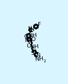 Nc1cc2sc(CNC(=O)Cn3cnc4c(c3=O)N[C@H](c3cnn(-c5ccc(F)cc5)c3)CO4)cc2cn1